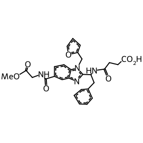 COC(=O)CNC(=O)c1ccc2c(c1)nc(C(Cc1ccccc1)NC(=O)CCC(=O)O)n2Cc1ccco1